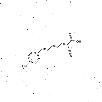 N#C\C(=C/C=C/C=C/c1ccc(N)cc1)C(=O)O